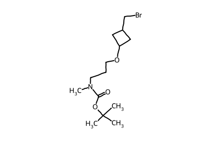 CN(CCCOC1CC(CBr)C1)C(=O)OC(C)(C)C